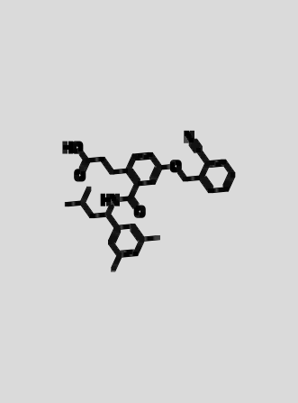 Cc1cc(C)cc(C(CC(C)C)NC(=O)c2cc(OCc3ccccc3C#N)ccc2CCC(=O)O)c1